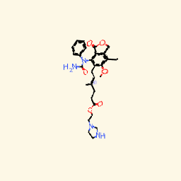 COc1c(C)c2c(c(N(C(N)=O)c3ccccc3)c1C/C=C(\C)CCC(=O)OCCN1CCNC1)C(=O)OC2